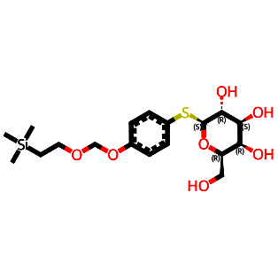 C[Si](C)(C)CCOCOc1ccc(S[C@@H]2O[C@H](CO)[C@H](O)[C@H](O)[C@H]2O)cc1